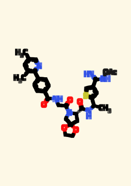 CC(=O)ONC(=N)c1csc([C@@H](C)NC(=O)[C@@H]2CC3(CN2C(=O)CNC(=O)c2ccc(-c4ncc(C)cc4C)cc2)OCCO3)c1